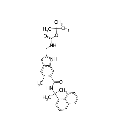 Cc1cc2cc(CNC(=O)OC(C)(C)C)[nH]c2cc1C(=O)NC(C)(C)c1cccc2ccccc12